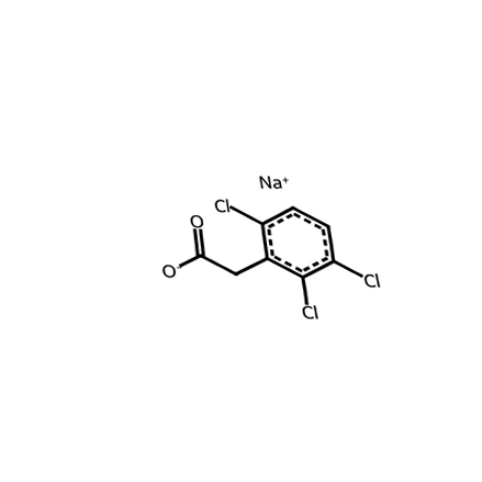 O=C([O-])Cc1c(Cl)ccc(Cl)c1Cl.[Na+]